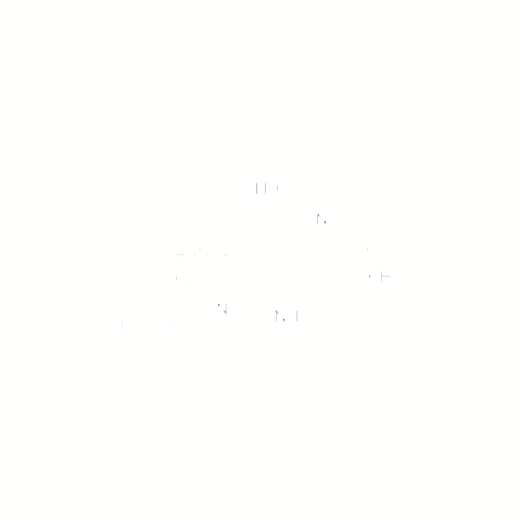 COC(=O)N=C(SC)C(=N)c1cc(C)nc(OC)c1